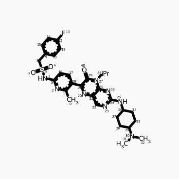 Cc1nc(NS(=O)(=O)Cc2ccc(F)cc2)ccc1-c1nc2cnc(NC3CCC(N(C)C)CC3)nc2n(C(C)C)c1=O